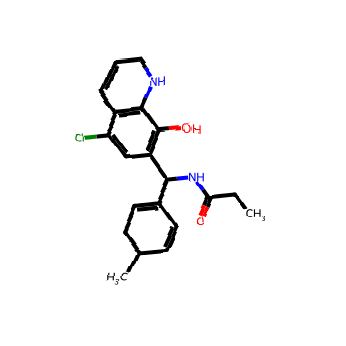 CCC(=O)NC(C1=CCC(C)C=C1)c1cc(Cl)c2c(c1O)NCC=C2